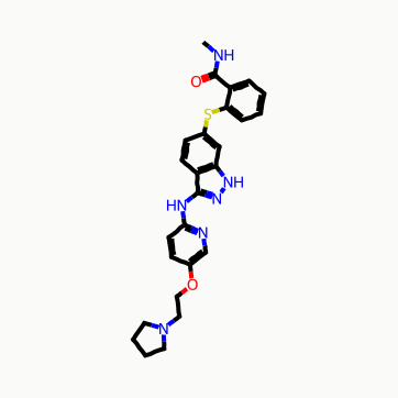 CNC(=O)c1ccccc1Sc1ccc2c(Nc3ccc(OCCN4CCCC4)cn3)n[nH]c2c1